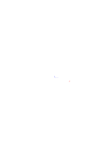 CCCCCCCCC/C=C/CCCCCCC=O